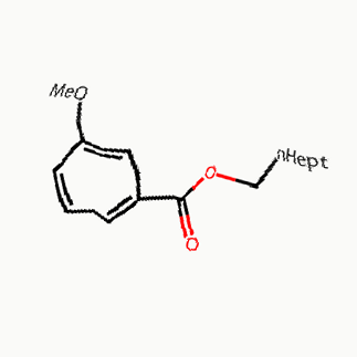 CCCCCCCCOC(=O)c1cccc(OC)c1